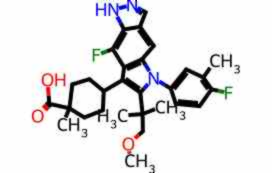 COCC(C)(C)c1c(C2CCC(C)(C(=O)O)CC2)c2c(F)c3[nH]ncc3cc2n1-c1ccc(F)c(C)c1